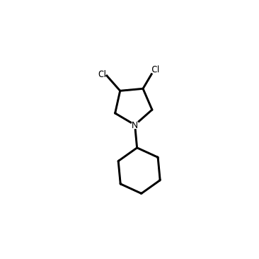 ClC1CN(C2CCCCC2)CC1Cl